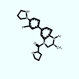 CC(=O)N1c2ccc(-c3ccc(N4CCCN4)c(F)c3)cc2N(C(=O)C2CCCO2)C[C@@H]1C